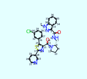 Cn1nc(C(=O)NC[C@@H]2CCCN2C(=O)c2nc(-c3cccnc3)sc2-c2cccc(Cl)c2)c2ccccc21